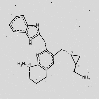 NC[C@@H]1C[C@H]1Cc1cc2c(nc1Cc1nc3ccccc3[nH]1)[C@@H](N)CCC2